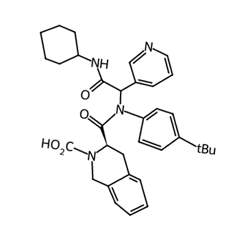 CC(C)(C)c1ccc(N(C(=O)[C@H]2Cc3ccccc3CN2C(=O)O)C(C(=O)NC2CCCCC2)c2cccnc2)cc1